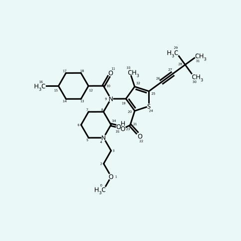 COCCN1CCCC(N(C(=O)C2CCC(C)CC2)c2c(C(=O)O)sc(C#CC(C)(C)C)c2C)C1=O